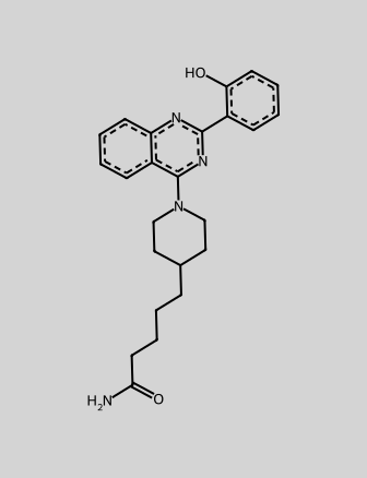 NC(=O)CCCCC1CCN(c2nc(-c3ccccc3O)nc3ccccc23)CC1